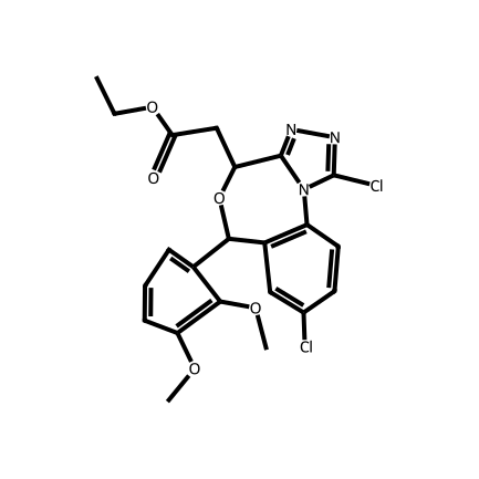 CCOC(=O)CC1OC(c2cccc(OC)c2OC)c2cc(Cl)ccc2-n2c(Cl)nnc21